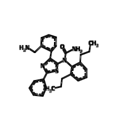 CCCc1cccc(CCC)c1N(C(N)=O)c1sc(-c2ccccc2)nc1-c1ccccc1CN